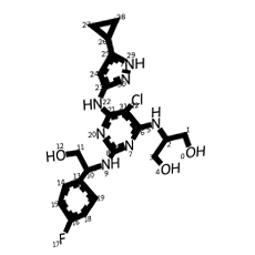 OCC(CO)Nc1nc(NC(CO)c2ccc(F)cc2)nc(Nc2cc(C3CC3)[nH]n2)c1Cl